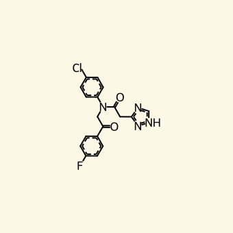 O=C(CN(C(=O)Cc1nc[nH]n1)c1ccc(Cl)cc1)c1ccc(F)cc1